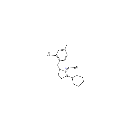 CCC/C=C1/C(Cc2ccc(C)cc2[C@H](C)CC)CCN1C1CCCCC1